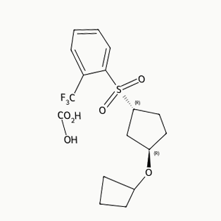 O=C(O)O.O=S(=O)(c1ccccc1C(F)(F)F)[C@@H]1CC[C@@H](OC2CCC2)C1